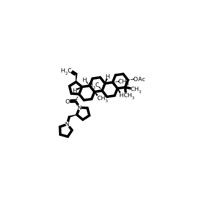 C=C[C@@H]1CC[C@]2(C(=O)N3CCC[C@H]3CN3CCCC3)CC[C@]3(C)[C@H](CC[C@@H]4[C@@]5(C)CC[C@H](OC(C)=O)C(C)(C)[C@@H]5CC[C@]43C)[C@@H]12